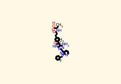 CCC(NC(=O)CCc1ccc([C@]2(C)C(=O)Nc3nc(-c4nn(Cc5ccccc5F)c5ncccc45)nc(N)c32)cc1)C(=O)O